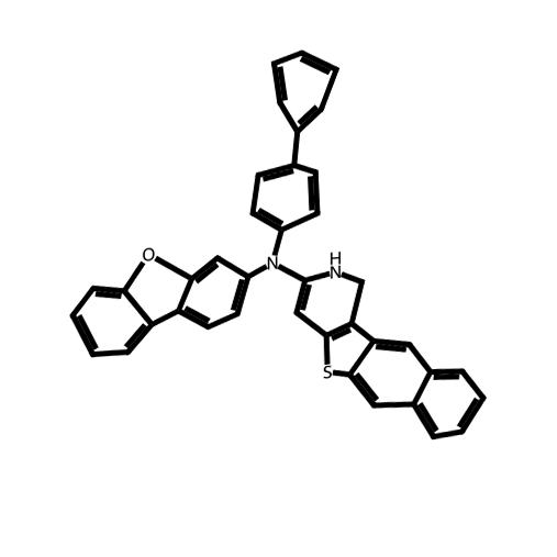 C1=C(N(c2ccc(-c3ccccc3)cc2)c2ccc3c(c2)oc2ccccc23)NCc2c1sc1cc3ccccc3cc21